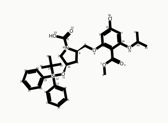 COC(=O)c1c(OC[C@H]2C[C@@H](O[Si](c3ccccc3)(c3ccccc3)C(C)(C)C)CN2C(=O)O)cc(Cl)cc1OC(C)C